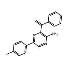 C=C(c1ccccc1)c1nc(-c2ccc(C)cc2)cnc1N